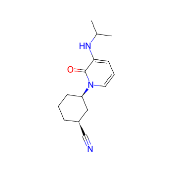 CC(C)Nc1cccn([C@@H]2CCC[C@H](C#N)C2)c1=O